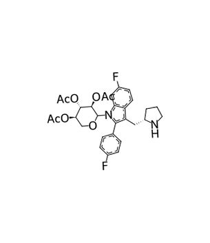 CC(=O)O[C@H]1[C@H](OC(C)=O)COC(n2c(-c3ccc(F)cc3)c(C[C@@H]3CCCN3)c3ccc(F)cc32)[C@@H]1OC(C)=O